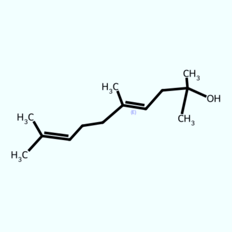 CC(C)=CCC/C(C)=C/CC(C)(C)O